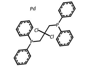 ClC(Cl)(CP(c1ccccc1)c1ccccc1)CP(c1ccccc1)c1ccccc1.[Pd]